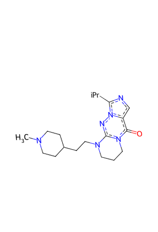 CC(C)c1ncc2c(=O)n3c(nn12)N(CCC1CCN(C)CC1)CCC3